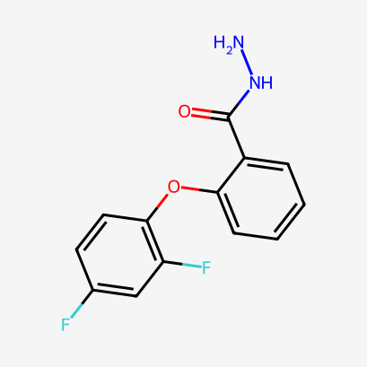 NNC(=O)c1ccccc1Oc1ccc(F)cc1F